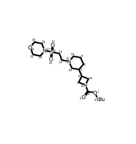 CC(C)(C)OC(=O)N1CC(C2CCCN(CCS(=O)(=O)N3CCOCC3)C2)C1